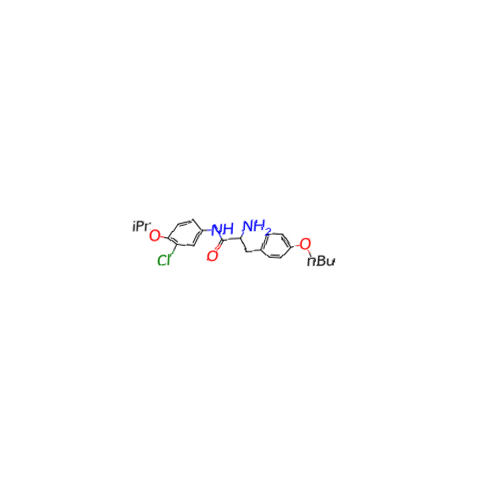 CCCCOc1ccc(CC(N)C(=O)Nc2ccc(OC(C)C)c(Cl)c2)cc1